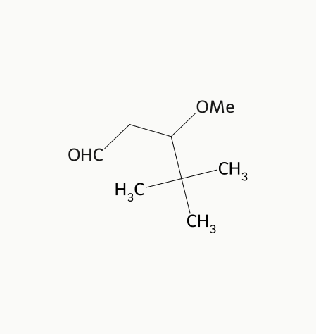 COC(CC=O)C(C)(C)C